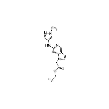 CCOC(=O)Cn1ccc2cnc(Nc3cnn(C)c3)nc21